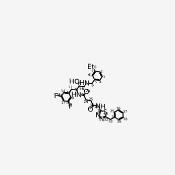 CCc1cccc(CNC[C@@H](O)[C@H](Cc2cc(F)cc(F)c2)NC(=O)CCC(=O)Nc2nnc(Cc3ccccc3)s2)c1